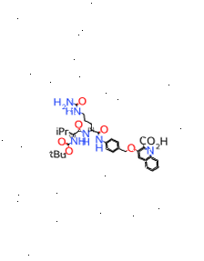 CC(C)[C@H](NC(=O)OC(C)(C)C)C(=O)N[C@@H](CCCNC(N)=O)C(=O)Nc1ccc(COc2cc3ccccc3nc2C(=O)O)cc1